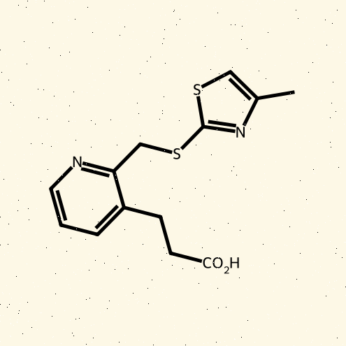 Cc1csc(SCc2ncccc2CCC(=O)O)n1